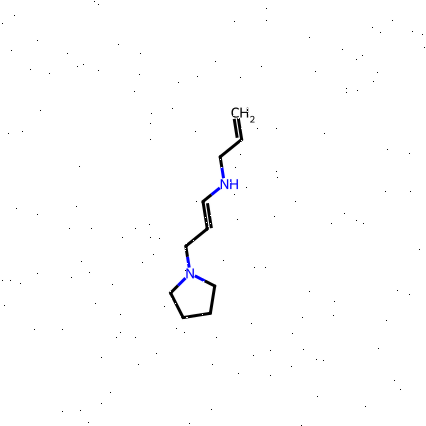 C=CCNC=CCN1CCCC1